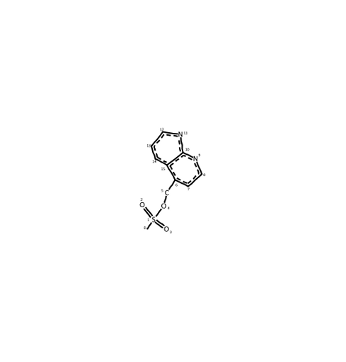 CS(=O)(=O)OCc1ccnc2ncccc12